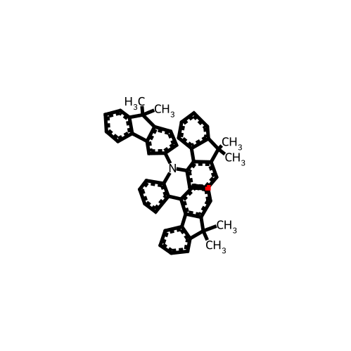 CC1(C)c2ccccc2-c2cc(N(c3ccccc3-c3cccc4c3-c3ccccc3C4(C)C)c3cccc4c3-c3ccccc3C4(C)C)ccc21